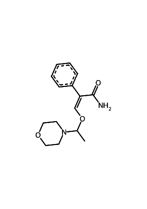 CC(OC=C(C(N)=O)c1ccccc1)N1CCOCC1